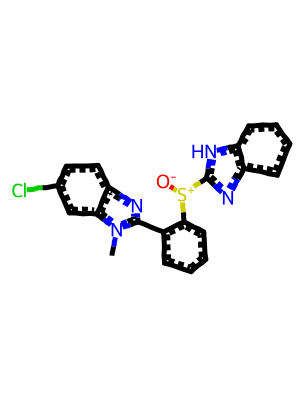 Cn1c(-c2ccccc2[S+]([O-])c2nc3ccccc3[nH]2)nc2ccc(Cl)cc21